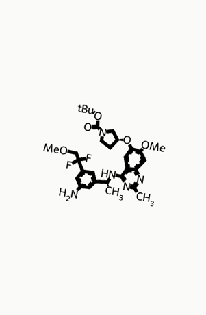 COCC(F)(F)c1cc(N)cc([C@@H](C)Nc2nc(C)nc3cc(OC)c(O[C@H]4CCN(C(=O)OC(C)(C)C)C4)cc23)c1